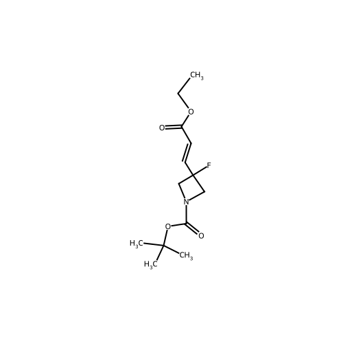 CCOC(=O)/C=C/C1(F)CN(C(=O)OC(C)(C)C)C1